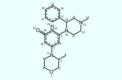 CC1COCCN1c1cc(N2CCN(C)CC2c2ccccc2)[nH]c(=O)c1